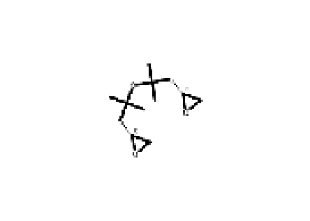 CC(C)(C[C@@H]1CO1)OC(C)(C)C[C@@H]1CO1